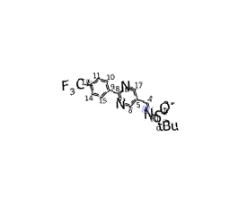 CC(C)(C)[S@+]([O-])/N=C/c1cnc(-c2ccc(C(F)(F)F)cc2)nc1